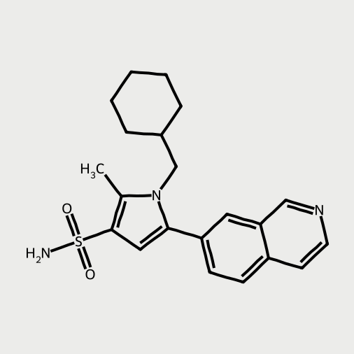 Cc1c(S(N)(=O)=O)cc(-c2ccc3ccncc3c2)n1CC1CCCCC1